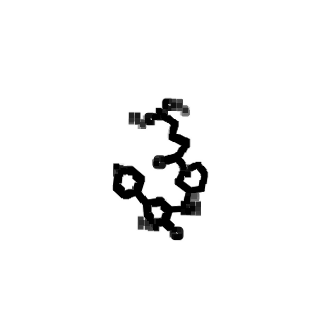 CN(C)CC=CC(=O)N1CCC[C@@H](Nc2cc(-c3ccncc3)c[nH]c2=O)C1